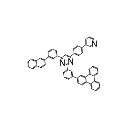 c1cncc(-c2ccc(-c3cc(-c4cccc(-c5ccc6ccccc6c5)c4)nc(-c4cccc(-c5ccc6c7ccccc7c7ccccc7c6c5)c4)n3)cc2)c1